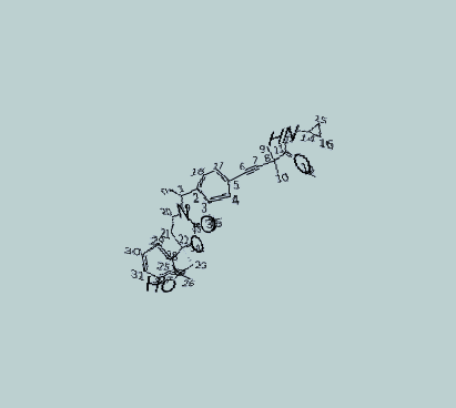 C[C@@H](c1ccc(C#CC(C)(C)C(=O)NC2CC2)cc1)N1CC[C@](CC(C)(C)O)(c2ccccc2)OC1=O